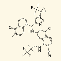 Cn1ccc2c([C@H](Nc3cc(Cl)c4ncc(C#N)c(NCC(C)(C)C(F)(F)F)c4c3)c3cn(C4(C(F)(F)F)CC4)nn3)cccc2c1=O